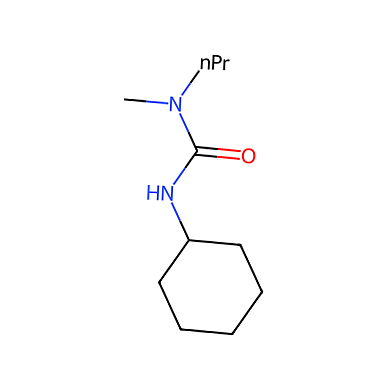 CCCN(C)C(=O)NC1CCCCC1